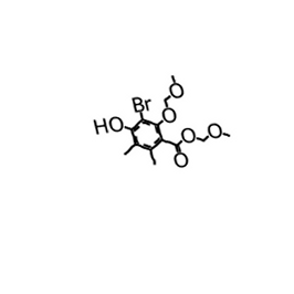 COCOC(=O)c1c(C)c(C)c(O)c(Br)c1OCOC